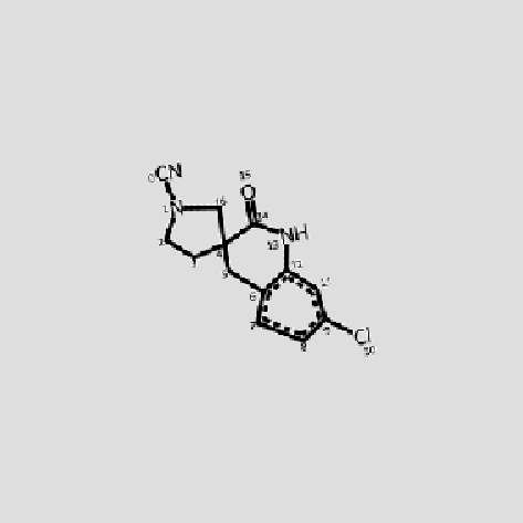 N#CN1CCC2(Cc3ccc(Cl)cc3NC2=O)C1